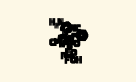 Cn1c(=O)n(Cc2ccccc2C#N)c2c(N3CCC[C@@H](N)C3)cc(Cl)nc21.O=C(O)C(F)(F)F